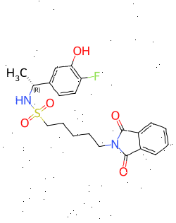 C[C@@H](NS(=O)(=O)CCCCCN1C(=O)c2ccccc2C1=O)c1ccc(F)c(O)c1